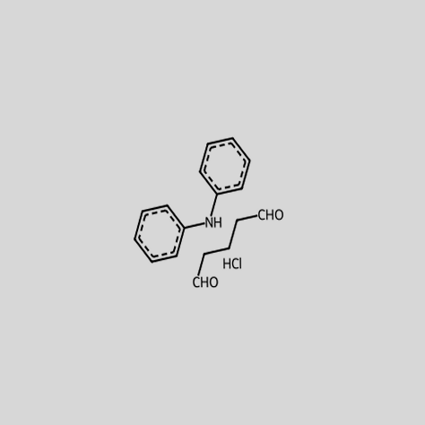 Cl.O=CCCCC=O.c1ccc(Nc2ccccc2)cc1